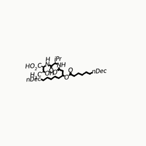 CCCCCCCCCCCCCCCC(=O)OC(CCCCCCCCCCCCCCC)CC(=O)N[C@H](C(=O)N[C@H](C(=O)O)[C@@H](C)O)C(C)C